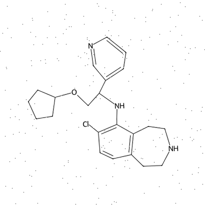 Clc1ccc2c(c1NC(COC1CCCC1)c1cccnc1)CCNCC2